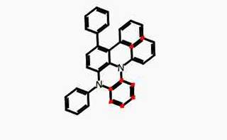 c1ccc(-c2ccc(N(c3ccccc3)c3ccccc3)c(N(c3ccccc3)c3ccccc3)c2-c2ccccc2)cc1